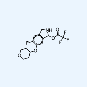 O=C(OC1NCc2cc(F)c(OC3CCOCC3)cc21)C(F)(F)F